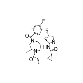 C=CC(=O)N1CCCN(C(=O)c2cc(Sc3cnc(NC(=O)C4CC4)s3)c(F)cc2C)CC1C